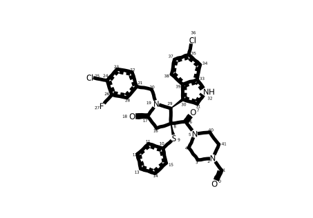 O=CN1CCN(C(=O)[C@]2(Sc3ccccc3)CC(=O)N(Cc3ccc(Cl)c(F)c3)[C@H]2c2c[nH]c3cc(Cl)ccc23)CC1